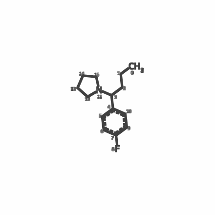 CCCC(c1ccc(F)cc1)N1CCCC1